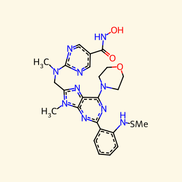 CSNc1ccccc1-c1nc(N2CCOCC2)c2nc(CN(C)c3ncc(C(=O)NO)cn3)n(C)c2n1